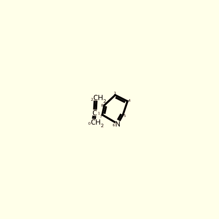 C=C=C.c1ccncc1